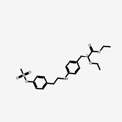 CCOC(=O)[C@H](Cc1ccc(NCCc2ccc(OS(C)(=O)=O)cc2)cc1)OCC